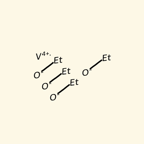 CC[O-].CC[O-].CC[O-].CC[O-].[V+4]